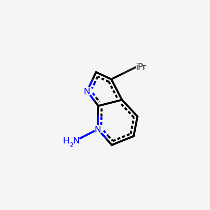 CC(C)c1cnc2n(N)cccc1-2